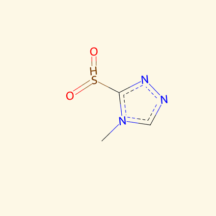 Cn1cnnc1[SH](=O)=O